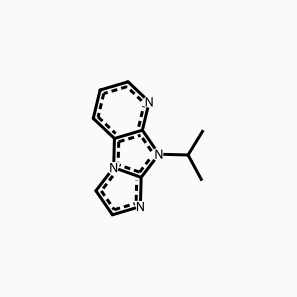 CC(C)n1c2ncccc2n2ccnc12